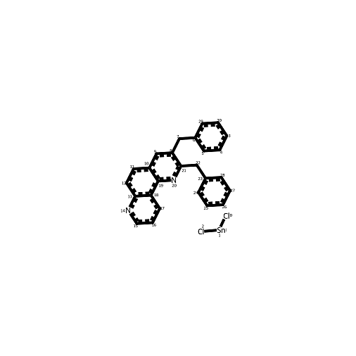 [Cl][Sn][Cl].c1ccc(Cc2cc3ccc4ncccc4c3nc2Cc2ccccc2)cc1